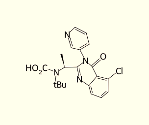 C[C@@H](c1nc2cccc(Cl)c2c(=O)n1-c1cccnc1)N(C(=O)O)C(C)(C)C